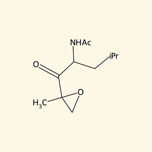 CC(=O)NC(CC(C)C)C(=O)C1(C)CO1